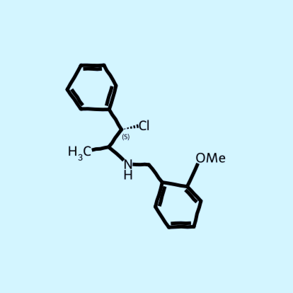 COc1ccccc1CNC(C)[C@@H](Cl)c1ccccc1